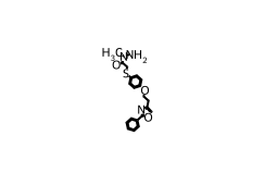 CN(N)C(=O)CSc1ccc(OCCc2coc(-c3ccccc3)n2)cc1